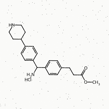 COC(=O)CCc1ccc(C(N)c2ccc(C3CCNCC3)cc2)cc1.Cl